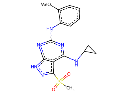 COc1ccccc1Nc1nc(NC2CC2)c2c(S(C)(=O)=O)n[nH]c2n1